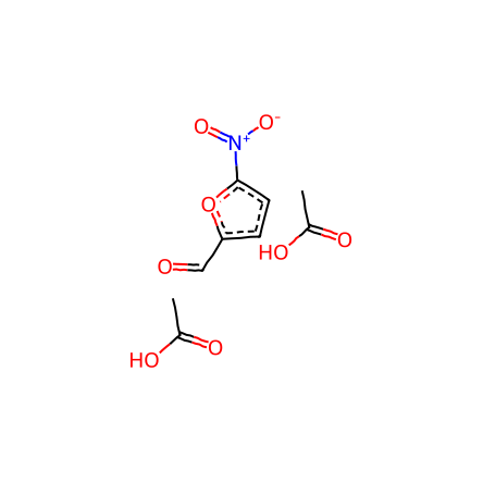 CC(=O)O.CC(=O)O.O=Cc1ccc([N+](=O)[O-])o1